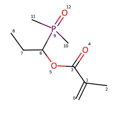 C=C(C)C(=O)OC(CC)P(C)(C)=O